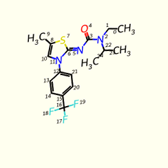 CCN(C(=O)N=c1sc(C)cn1-c1ccc(C(F)(F)F)cc1)C(C)C